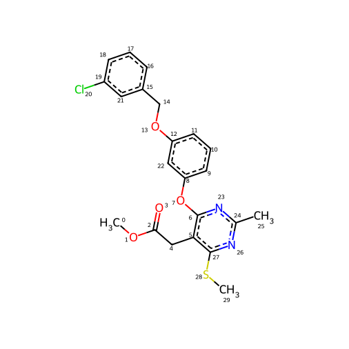 COC(=O)Cc1c(Oc2cccc(OCc3cccc(Cl)c3)c2)nc(C)nc1SC